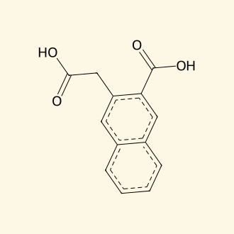 O=C(O)Cc1cc2ccccc2cc1C(=O)O